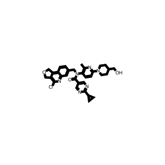 Cc1nc(N2CCC(CO)CC2)ccc1N(Cc1ccc2c3c(c(Cl)nc2c1)COC3)C(=O)c1cnc(C2CC2)nc1